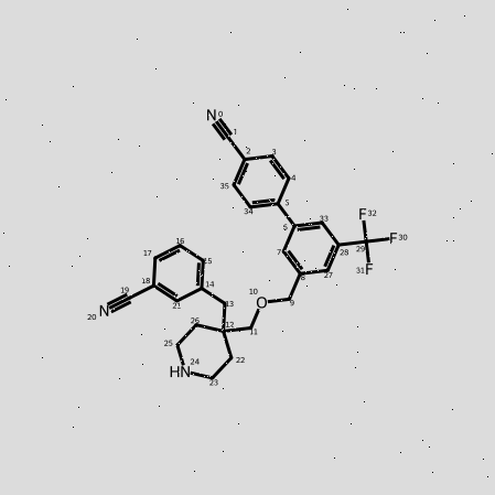 N#Cc1ccc(-c2cc(COCC3(Cc4cccc(C#N)c4)CCNCC3)cc(C(F)(F)F)c2)cc1